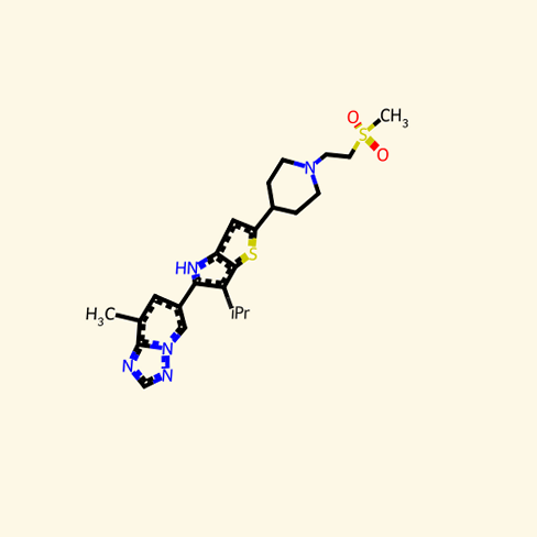 Cc1cc(-c2[nH]c3cc(C4CCN(CCS(C)(=O)=O)CC4)sc3c2C(C)C)cn2ncnc12